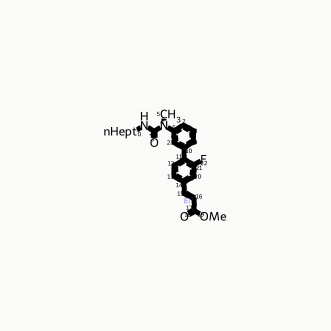 CCCCCCCNC(=O)N(C)c1cccc(-c2ccc(/C=C/C(=O)OC)cc2F)c1